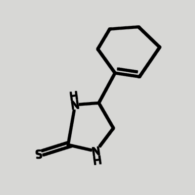 S=C1NCC(C2=CCCCC2)N1